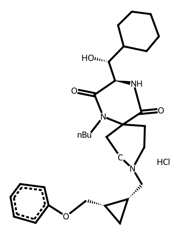 CCCCN1C(=O)[C@@H]([C@H](O)C2CCCCC2)NC(=O)C12CCN(C[C@@H]1C[C@@H]1COc1ccccc1)CC2.Cl